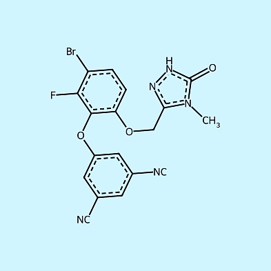 [C-]#[N+]c1cc(C#N)cc(Oc2c(OCc3n[nH]c(=O)n3C)ccc(Br)c2F)c1